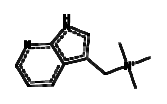 C[N+](C)(C)Cc1c[nH]c2ncccc12